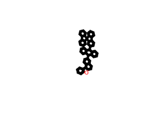 c1ccc2c(c1)-c1ccccc1C21c2ccccc2-c2ccc(-c3c4ccccc4c(-c4ccc5c(ccc6oc7ccccc7c65)c4)c4ccccc34)cc21